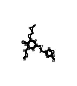 COCOc1cc(SCc2coc(C)n2)cn(COC)c1=O